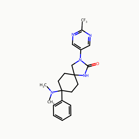 CN(C)C1(c2ccccc2)CCC2(CC1)CN(c1cnc(C(F)(F)F)nc1)C(=O)N2